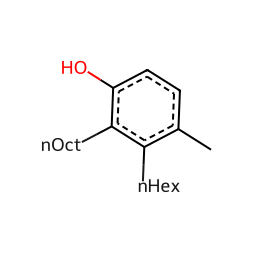 CCCCCCCCc1c(O)ccc(C)c1CCCCCC